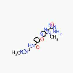 CCn1c(-c2nonc2N)nc2cnc(Oc3cccc(C(=O)NCCCN4CCN(C)CC4)c3)cc21